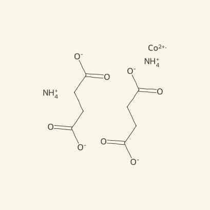 O=C([O-])CCC(=O)[O-].O=C([O-])CCC(=O)[O-].[Co+2].[NH4+].[NH4+]